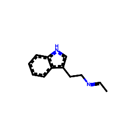 CC=NCCc1c[nH]c2ccccc12